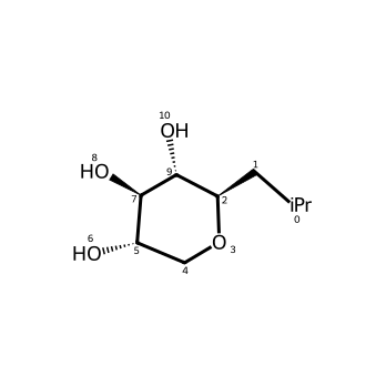 CC(C)C[C@H]1OC[C@H](O)[C@@H](O)[C@@H]1O